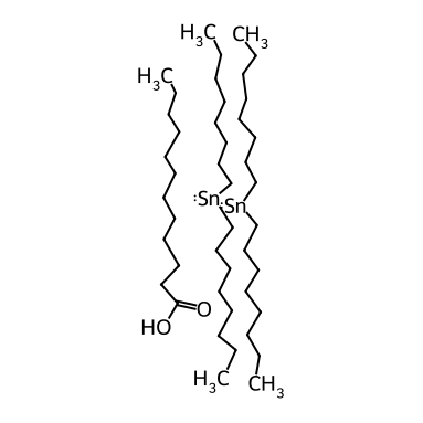 CCCCCCCCCCCC(=O)O.CCCCCCC[CH2][Sn][CH2]CCCCCCC.CCCCCCC[CH2][Sn][CH2]CCCCCCC